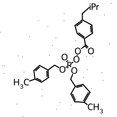 Cc1ccc(COP(=O)(OCc2ccc(C)cc2)OOC(=O)c2ccc(CC(C)C)cc2)cc1